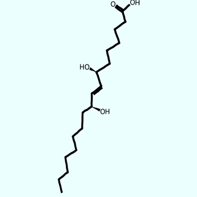 CCCCCCCC[C@H](O)/C=C/[C@@H](O)CCCCCC(=O)O